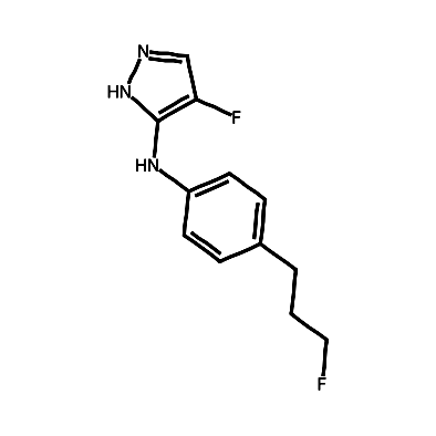 FCCCc1ccc(Nc2[nH]ncc2F)cc1